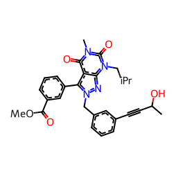 COC(=O)c1cccc(-c2c3c(=O)n(C)c(=O)n(CC(C)C)c3nn2Cc2cccc(C#CC(C)O)c2)c1